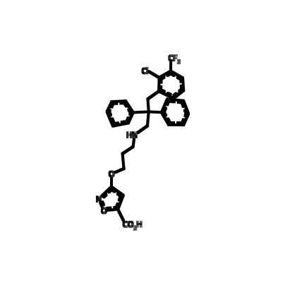 O=C(O)c1cc(OCCCNCC(Cc2cccc(C(F)(F)F)c2Cl)(c2ccccc2)c2ccccc2)no1